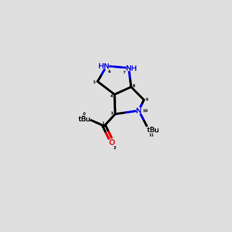 CC(C)(C)C(=O)C1C2CNNC2CN1C(C)(C)C